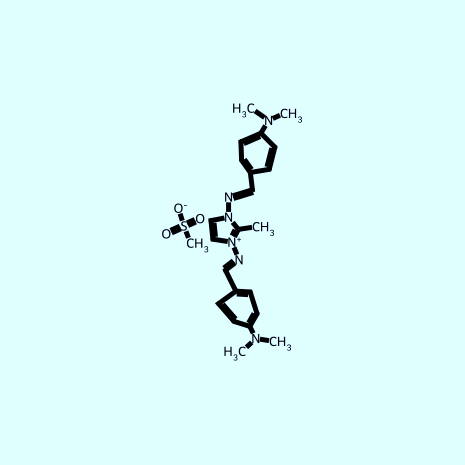 CS(=O)(=O)[O-].Cc1n(N=Cc2ccc(N(C)C)cc2)cc[n+]1N=Cc1ccc(N(C)C)cc1